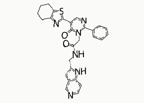 O=C(Cn1c(-c2ccccc2)ncc(-c2nc3c(s2)CCCC3)c1=O)NCc1cc2cnccc2[nH]1